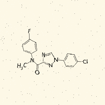 CN(C(=O)c1ncn(-c2ccc(Cl)cc2)n1)c1ccc(F)cc1